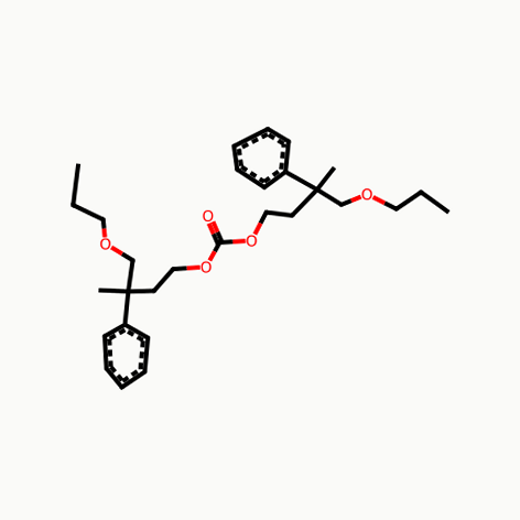 CCCOCC(C)(CCOC(=O)OCCC(C)(COCCC)c1ccccc1)c1ccccc1